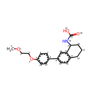 COCCOc1ccc(-c2ccc3c(c2)C(NC(=O)O)CCC3)cc1